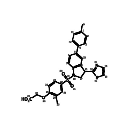 Cc1ccc(-c2ccc3c(c2)C(c2nccs2)CN3S(=O)(=O)c2ccc(OCC(=O)O)c(C)c2)cc1